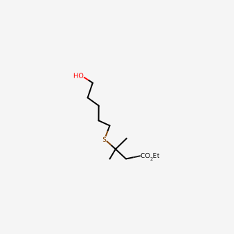 CCOC(=O)CC(C)(C)SCCCCCO